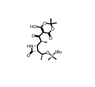 C[C@H](O[Si](C)(C)C(C)(C)C)[C@@H]1C(=O)N[C@@H]1[C@H](C)C(=O)C1=C(O)OC(C)(C)OC1=O